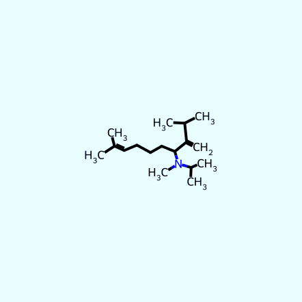 C=C(C(C)C)C(CCCC=C(C)C)N(C)C(C)C